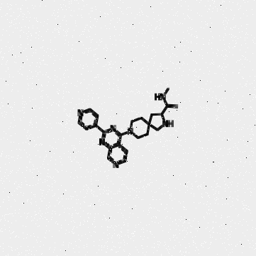 C=C(NC)C1CC2(CCN(c3nc(-c4ccncc4)nc4cnccc34)CC2)CN1